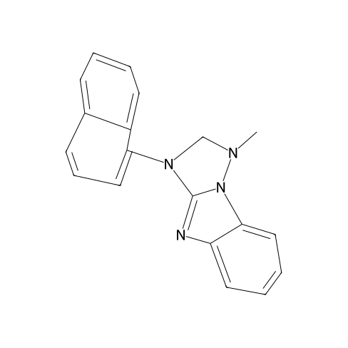 CN1CN(c2cccc3ccccc23)c2nc3ccccc3n21